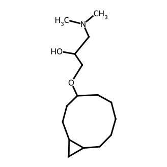 CN(C)CC(O)COC1CCCCCC2CC2CC1